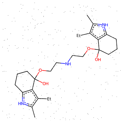 CCc1c(C)[nH]c2c1C(O)(OCCNCCOC1(O)CCCc3[nH]c(C)c(CC)c31)CCC2